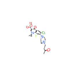 CC(=O)CCN1CCN(c2c(Cl)cc3c(=O)c(C(=O)O)cn(C4CC4)c3c2F)CC1